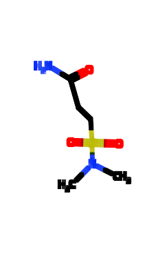 CN(C)S(=O)(=O)CCC(N)=O